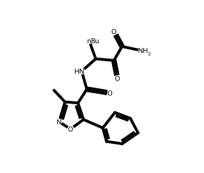 CCCCC(NC(=O)c1c(C)noc1-c1ccccc1)C(=O)C(N)=O